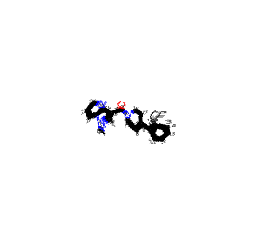 Cn1cc(C(=O)N2CCC(c3ccccc3C(F)(F)F)CC2)c2ncccc21